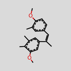 COc1ccc(/C=C(/C)c2cc(C)c(C)c(OC)c2)cc1C